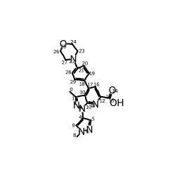 Cc1nn(-c2cnn(C)c2)c2nc(C(=O)O)cc(-c3ccc(N4CCOCC4)cc3)c12